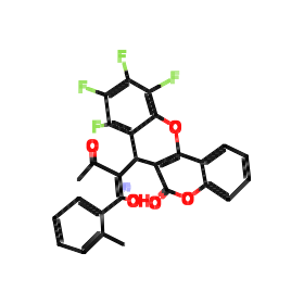 CC(=O)/C(=C(/O)c1ccccc1C)C1c2c(F)c(F)c(F)c(F)c2Oc2c1c(=O)oc1ccccc21